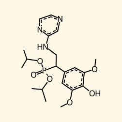 COc1cc(C(CNc2cnccn2)P(=O)(OC(C)C)OC(C)C)cc(OC)c1O